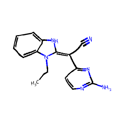 CCN1C(=C(C#N)c2ccnc(N)n2)Nc2ccccc21